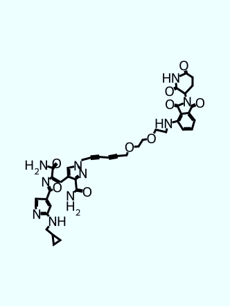 NC(=O)c1nn(CC#CC#CCOCCOCCNc2cccc3c2C(=O)N(C2CCC(=O)NC2=O)C3=O)cc1-c1oc(-c2ccnc(NCC3CC3)c2)nc1C(N)=O